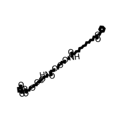 O=C(CCCCCCCCCCCCC(=O)OCc1ccccc1)NCCOCCOCCOCCC(=O)NCCOCCOCCOCCC(=O)ON1C(=O)CCC1=O